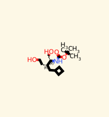 CC(C)(C)OC(=O)N[C@@H](CO)[C@@H](CCO)CC1CCC1